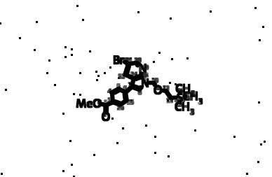 COC(=O)c1ccc(-c2cn(COCC[Si](C)(C)C)c3ncc(Br)cc23)cc1